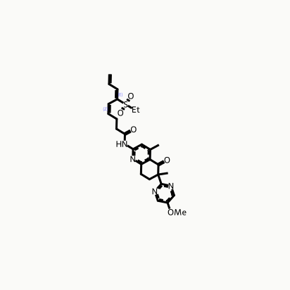 C=C/C=C(\C=C/CCC(=O)Nc1cc(C)c2c(n1)CCC(C)(c1ncc(OC)cn1)C2=O)S(=O)(=O)CC